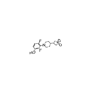 O=S1(=O)CC(C2CCN(c3c(F)ccc(O)c3F)CC2)C1